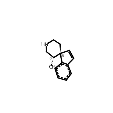 C[C@@H]1CNCC[C@]12C=Cc1ccccc12